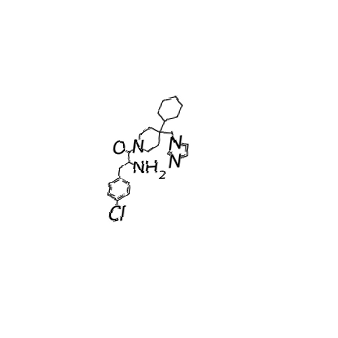 NC(Cc1ccc(Cl)cc1)C(=O)N1CCC(Cn2ccnc2)(C2CCCCC2)CC1